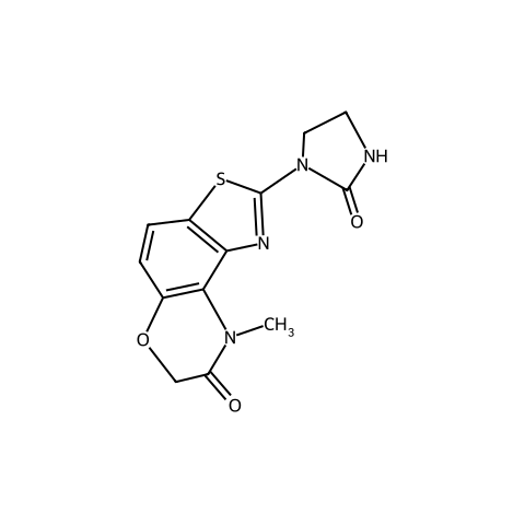 CN1C(=O)COc2ccc3sc(N4CCNC4=O)nc3c21